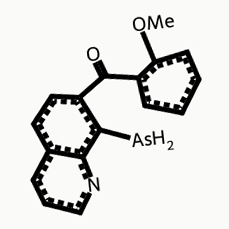 COc1ccccc1C(=O)c1ccc2cccnc2c1[AsH2]